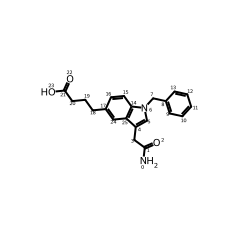 NC(=O)Cc1cn(Cc2ccccc2)c2ccc(CCCC(=O)O)cc12